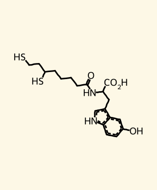 O=C(CCCCC(S)CCS)NC(Cc1c[nH]c2ccc(O)cc12)C(=O)O